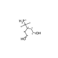 CC(C)(P)C(CCO)CCO